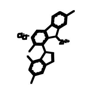 Cc1cc(C)c2c(c1)C=CC2c1c(C)ccc2c1[CH]([Zr+2])c1cc(C)ccc1-2.[Cl-].[Cl-]